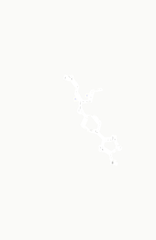 C/C=C/C(=C\C=N)Oc1ccc(-c2noc(C(C)C)n2)cc1